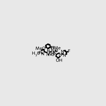 COc1cccc(OC)c1-n1c(NS(=O)(=O)[C@H]2CC(O)CN(c3ncc(F)cn3)C2)nnc1-c1ccn(C)n1